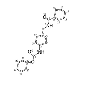 O=C(Nc1ccc(CNC(=O)c2ccccc2)cc1)Oc1ccccc1